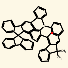 CC1(C)c2ccccc2-c2c(-c3ccccc3N(c3ccccc3)c3ccccc3-c3ccc4c(c3)-c3ccccc3C43c4ccccc4-c4ccccc43)cccc21